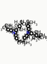 Cc1cc(C(C)C)cc(C)c1-c1cc2c3cc4cc(C(C)C)ccc4cc3n3c4cc5ccc(C(C)CCC(C)c6ccc7cc8c(cc7c6)c6cc(-c7c(C)cc(C(C)(C)C)cc7C)cc7c9cc%10cc(C(C)C)ccc%10cc9n8c76)cc5cc4c(c1)c23